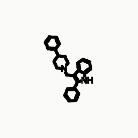 c1ccc(-c2[nH]c3ccccc3c2CN2CCC(c3ccccc3)CC2)cc1